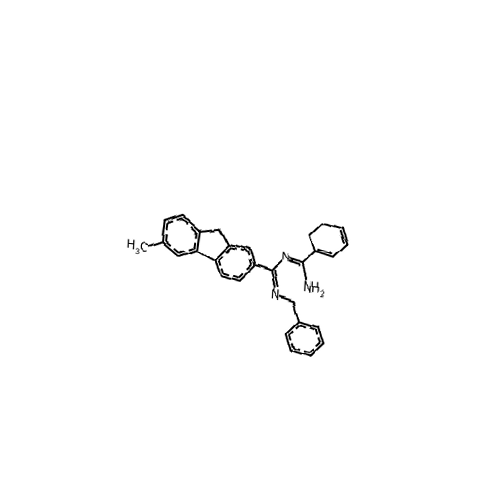 Cc1ccc2c(c1)-c1ccc(C(/N=C(\N)C3=CC=CCC3)=N/Cc3ccccc3)cc1C2